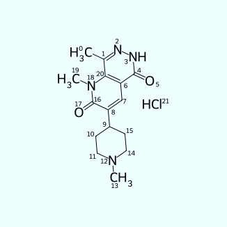 Cc1n[nH]c(=O)c2cc(C3CCN(C)CC3)c(=O)n(C)c12.Cl